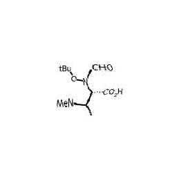 CNC(C)[C@@H](C(=O)O)N(C=O)OC(C)(C)C